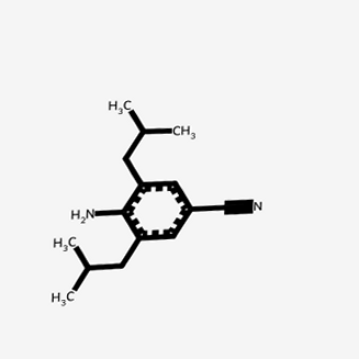 CC(C)Cc1cc(C#N)cc(CC(C)C)c1N